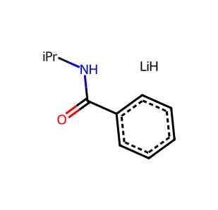 CC(C)NC(=O)c1ccccc1.[LiH]